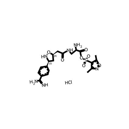 Cc1noc(C)c1S(=O)(=O)OC(=O)C(N)CNC(=O)C[C@H]1C[C@@H](c2ccc(C(=N)N)cc2)NO1.Cl